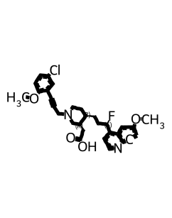 COc1ccc2nccc([C@@H](F)CC[C@@H]3CCN(CC#Cc4cc(Cl)ccc4OC)C[C@@H]3CC(=O)O)c2c1